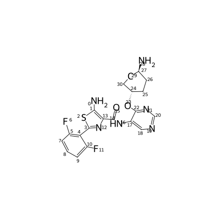 Nc1sc(-c2c(F)cccc2F)nc1C(=O)Nc1cncnc1O[C@H]1CC[C@H](N)CC1